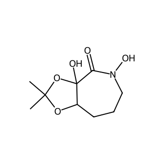 CC1(C)OC2CCCN(O)C(=O)C2(O)O1